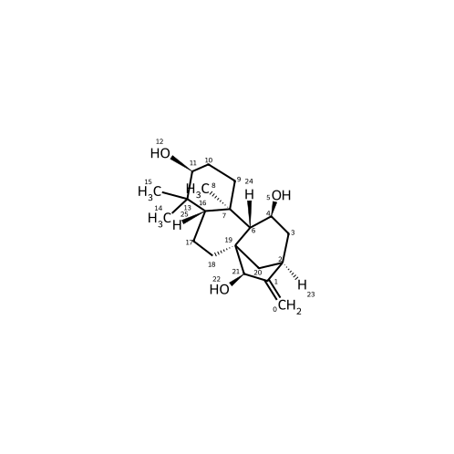 C=C1[C@@H]2C[C@H](O)[C@H]3[C@]4(C)CC[C@H](O)C(C)(C)[C@H]4CC[C@]3(C2)[C@@H]1O